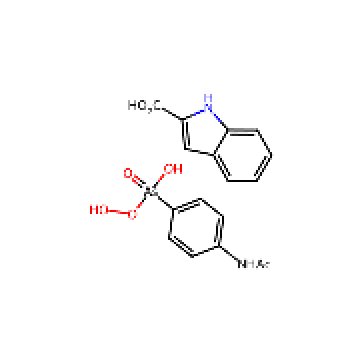 CC(=O)Nc1ccc([As](=O)(O)OO)cc1.O=C(O)c1cc2ccccc2[nH]1